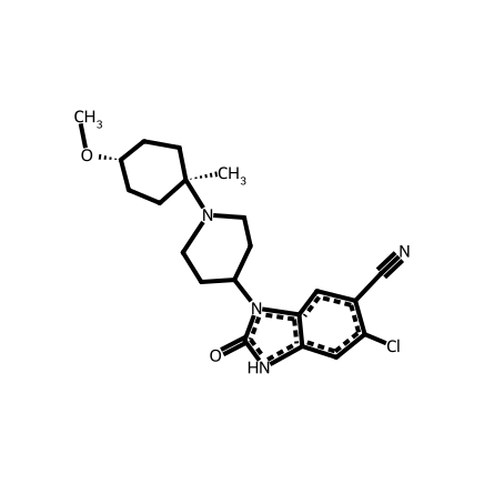 CO[C@H]1CC[C@](C)(N2CCC(n3c(=O)[nH]c4cc(Cl)c(C#N)cc43)CC2)CC1